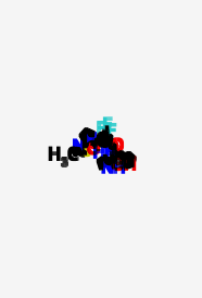 Cc1csc(C2CCCN2C(=O)c2cc(C(=O)N[C@@H](Cc3ccccc3)[C@H](O)C3CCCN3)cc(C(F)(F)F)c2)n1